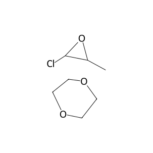 C1COCCO1.CC1OC1Cl